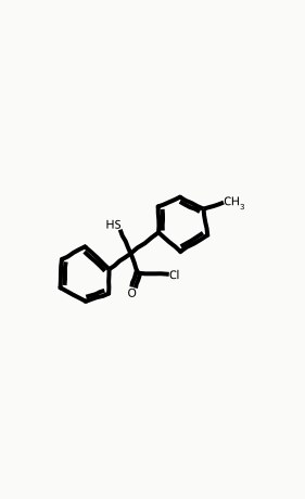 Cc1ccc(C(S)(C(=O)Cl)c2ccccc2)cc1